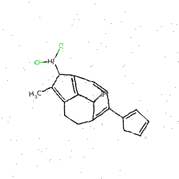 CC1=C2CCC3=C(C4=CC=CC4)C=CC(=C2C3C(C)C)[CH]1[Hf]([Cl])[Cl]